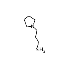 [SiH3]CCCN1CCCC1